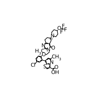 Cc1cc(-c2cc(Cl)ccc2OCCn2c(C)nc3c(c2=O)C[C@@H](N2CCC(OC(F)(F)F)CC2)CC3)c2scc(C(=O)O)c2n1